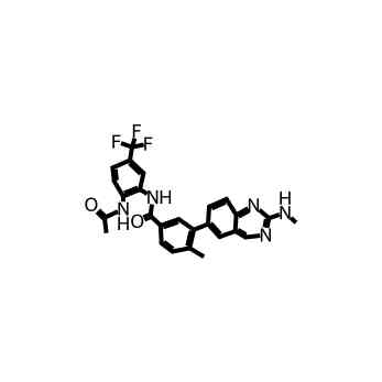 CNc1ncc2cc(-c3cc(C(=O)Nc4cc(C(F)(F)F)ccc4NC(C)=O)ccc3C)ccc2n1